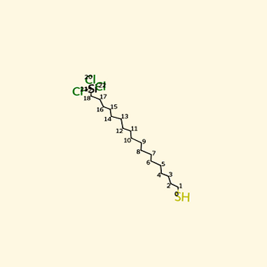 SCCCCCCCCCCCCCCCCCC[Si](Cl)(Cl)Cl